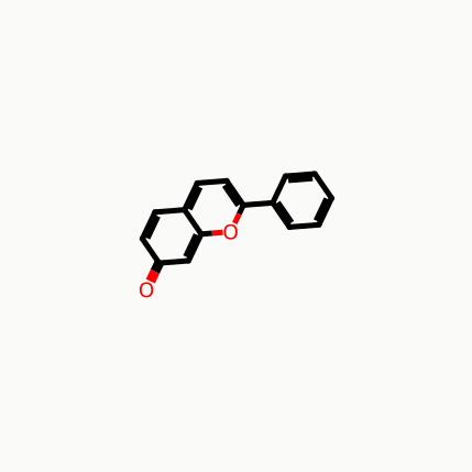 O=c1ccc2ccc(-c3ccccc3)oc-2c1